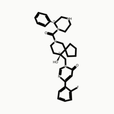 O=C(N1CC[C@@](O)(Cn2cnc(-c3ccccc3F)cc2=O)C2(CCCC2)C1)N1CCNC[C@H]1c1ccccc1